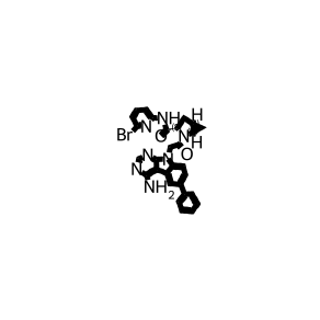 Nc1ncnc2c1c1cc(-c3ccccc3)ccc1n2CC(=O)N1[C@@H]2C[C@@H]2C[C@H]1C(=O)Nc1cccc(Br)n1